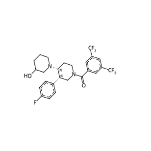 O=C(c1cc(C(F)(F)F)cc(C(F)(F)F)c1)N1CC[C@@H](N2CCCC(O)C2)[C@@H](c2ccc(F)cc2)C1